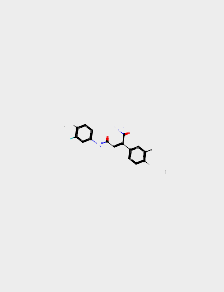 Cc1ccc(/C(=C/C(=O)Nc2ccc(C)c(F)c2)C(N)=O)cc1C